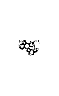 Nc1nccc(-c2c[nH]c3nccc(N4CC5[C@@H](C4)OCc4cnnn45)c23)n1